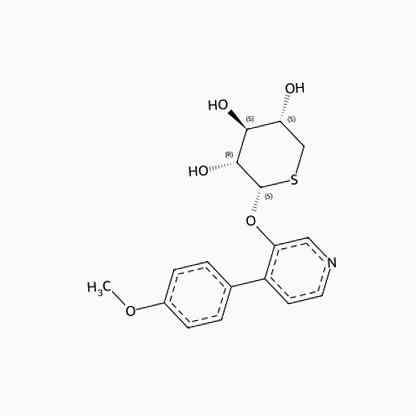 COc1ccc(-c2ccncc2O[C@H]2SC[C@@H](O)[C@H](O)[C@H]2O)cc1